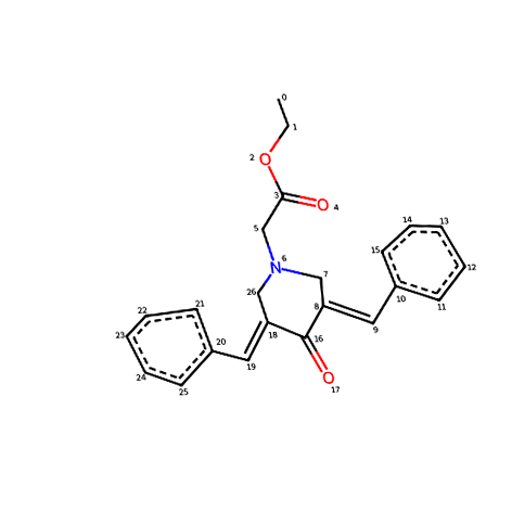 CCOC(=O)CN1C/C(=C\c2ccccc2)C(=O)/C(=C/c2ccccc2)C1